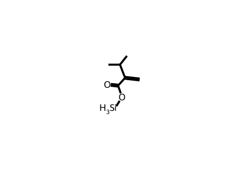 C=C(C(=O)O[SiH3])C(C)C